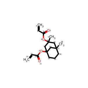 C=CC(=O)OC1(C)CC2(OC(=O)C=C)CCCC(C(F)(F)F)(C1)C2